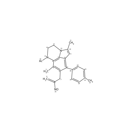 C=C(Cc1c(C)c2c3c(cc(C)n3CCN2C(C)=O)c1-c1ccc(C)cc1)N=O